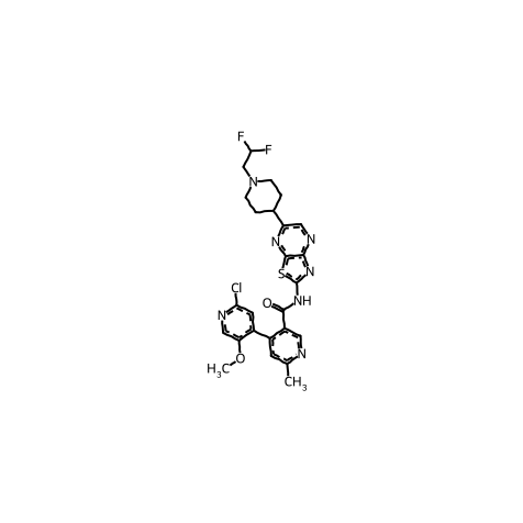 COc1cnc(Cl)cc1-c1cc(C)ncc1C(=O)Nc1nc2ncc(C3CCN(CC(F)F)CC3)nc2s1